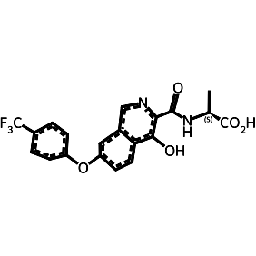 C[C@H](NC(=O)c1ncc2cc(Oc3ccc(C(F)(F)F)cc3)ccc2c1O)C(=O)O